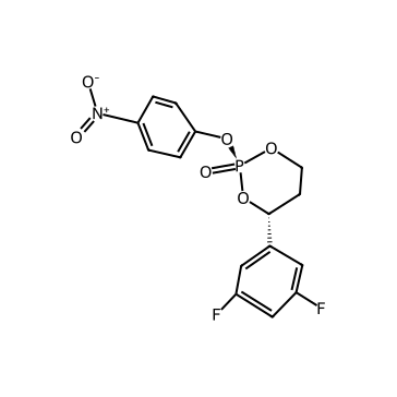 O=[N+]([O-])c1ccc(O[P@@]2(=O)OCC[C@H](c3cc(F)cc(F)c3)O2)cc1